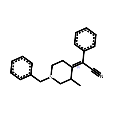 CC1CN(Cc2ccccc2)CC/C1=C(/C#N)c1ccccc1